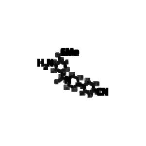 C=C(c1ccc(CSC)c(N)c1)N1CCC(c2ccc(C#N)cc2)CC1